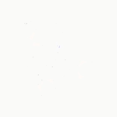 CCOC(OCC)c1cccc(C2Nc3cccc(C(=O)OC)c3C(=O)C2c2cccc(C(OCC)OCC)c2)c1